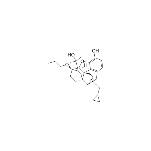 CCCO[C@]12CC[C@@]3(C[C@@H]1C(C)(C)O)C1Cc4ccc(O)c5c4[C@@]3(CCN1CC1CC1)C2O5